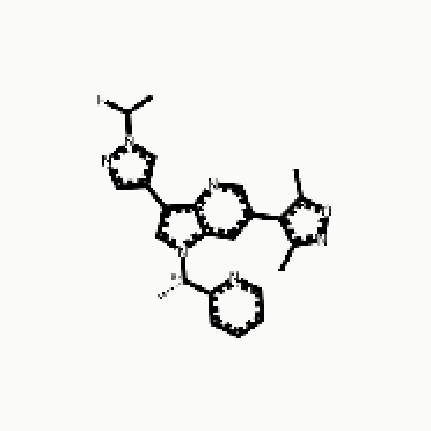 Cc1noc(C)c1-c1cnc2c(-c3cnn(C(C)F)c3)cn([C@@H](C)c3ccccn3)c2c1